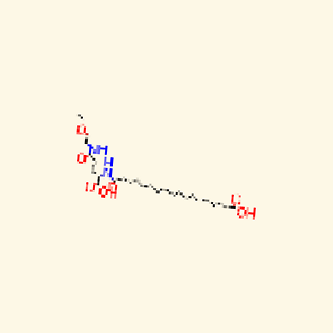 CCOCCNC(=O)CC[C@@H](NC(=O)CCCCCCCCCCCCCCCCC(=O)O)C(=O)O